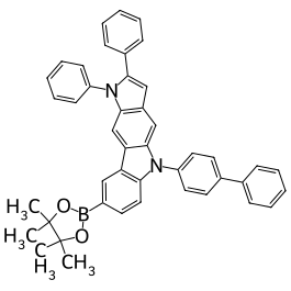 CC1(C)OB(c2ccc3c(c2)c2cc4c(cc(-c5ccccc5)n4-c4ccccc4)cc2n3-c2ccc(-c3ccccc3)cc2)OC1(C)C